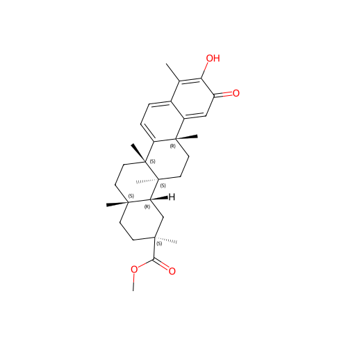 COC(=O)[C@@]1(C)CC[C@]2(C)CC[C@]3(C)C4=CC=C5C(=CC(=O)C(O)=C5C)[C@]4(C)CC[C@@]3(C)[C@@H]2C1